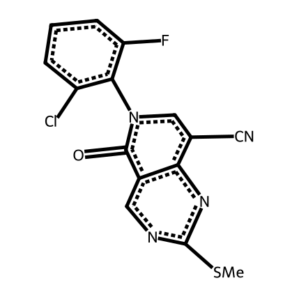 CSc1ncc2c(=O)n(-c3c(F)cccc3Cl)cc(C#N)c2n1